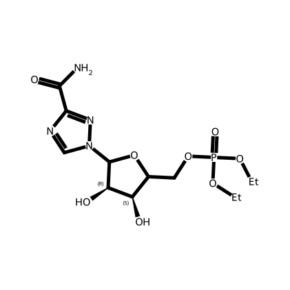 CCOP(=O)(OCC)OCC1OC(n2cnc(C(N)=O)n2)[C@H](O)[C@@H]1O